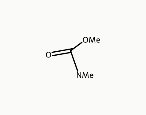 [CH2-][NH2+]C(=O)OC